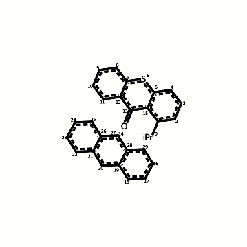 CC(C)c1cccc2sc3ccccc3c(=O)c12.c1ccc2cc3ccccc3cc2c1